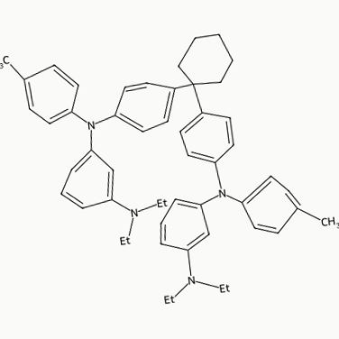 CCN(CC)c1cccc(N(c2ccc(C)cc2)c2ccc(C3(c4ccc(N(c5ccc(C)cc5)c5cccc(N(CC)CC)c5)cc4)CCCCC3)cc2)c1